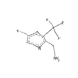 NCc1ncc(F)cc1C(F)(F)F